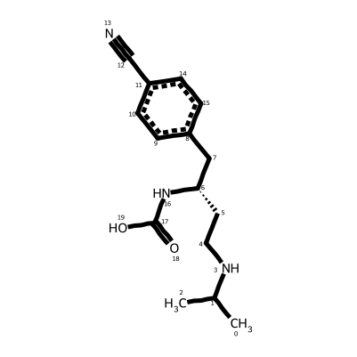 CC(C)NCC[C@@H](Cc1ccc(C#N)cc1)NC(=O)O